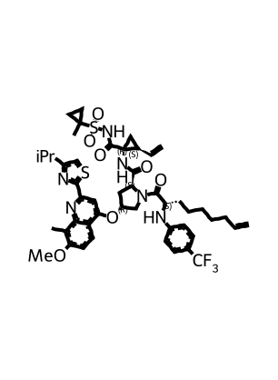 C=CCCCCC[C@H](Nc1ccc(C(F)(F)F)cc1)C(=O)N1C[C@H](Oc2cc(-c3nc(C(C)C)cs3)nc3c(C)c(OC)ccc23)C[C@H]1C(=O)N[C@]1(C(=O)NS(=O)(=O)C2(C)CC2)C[C@H]1C=C